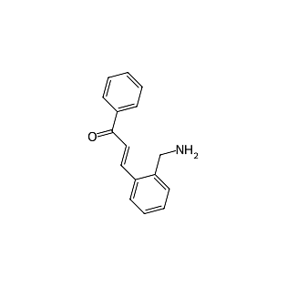 NCc1ccccc1C=CC(=O)c1ccccc1